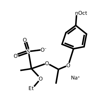 CCCCCCCCc1ccc(OC(C)OC(C)(OCC)S(=O)(=O)[O-])cc1.[Na+]